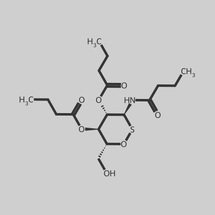 CCCC(=O)N[C@H]1SO[C@H](CO)[C@@H](OC(=O)CCC)[C@@H]1OC(=O)CCC